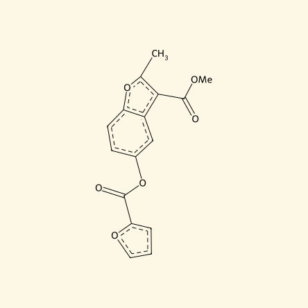 COC(=O)c1c(C)oc2ccc(OC(=O)c3ccco3)cc12